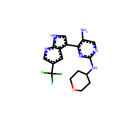 Nc1cnc(NC2CCOCC2)nc1-c1c[nH]c2ncc(C(F)(F)F)cc12